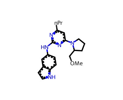 CCCc1cc(N2CCCC2COC)nc(Nc2ccc3[nH]ccc3c2)n1